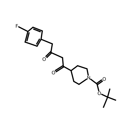 CC(C)(C)OC(=O)N1CCC(C(=O)CC(=O)Cc2ccc(F)cc2)CC1